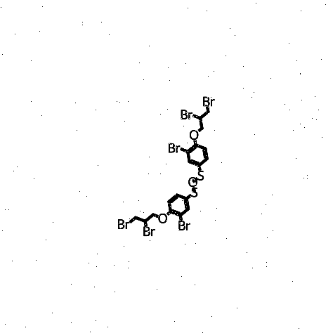 BrCC(Br)COc1ccc(SOSc2ccc(OCC(Br)CBr)c(Br)c2)cc1Br